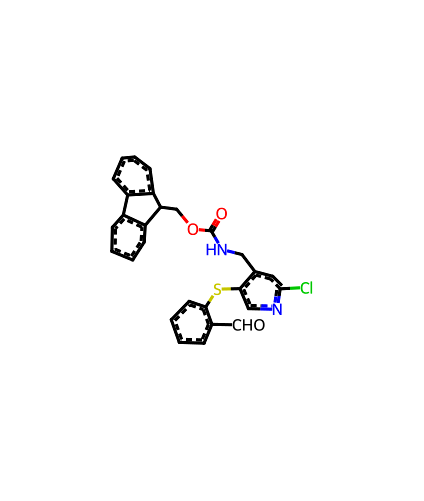 O=Cc1ccccc1Sc1cnc(Cl)cc1CNC(=O)OCC1c2ccccc2-c2ccccc21